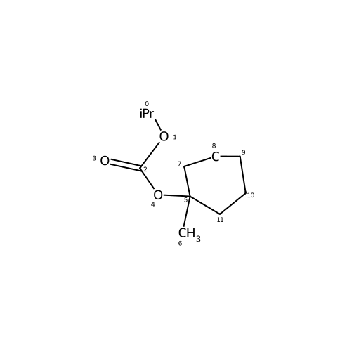 CC(C)OC(=O)OC1(C)CCCCC1